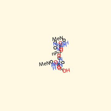 CCCC(C)(COc1ccc(C2=N[C@@H](NC(=O)Nc3cccc(NC)c3)C(=O)N(CC(=O)C(C)(C)CO)c3ccccc32)nc1)C(=O)CN1C(=O)[C@H](NC(=O)Nc2cccc(NC)c2)N=C(c2ccccn2)c2ccccc21